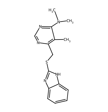 Cc1c(CSc2nc3ccccc3[nH]2)ncnc1N(C)C